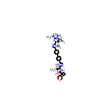 CN(C)C(=N[C@H](c1ncc(-c2ccc(-c3ccc(-c4cnc([C@@H](NC(=O)C5(C6(O)CCOCC6)CCC5)C(C)(C)C)[nH]4)cc3)cc2)[nH]1)C(C)(C)C)N(C)C